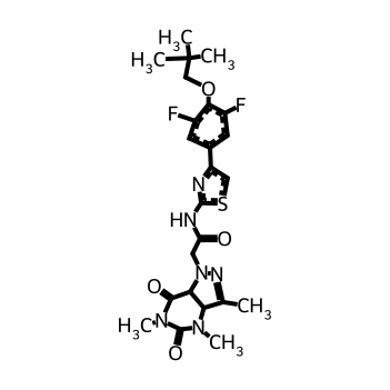 CC1=NN(CC(=O)Nc2nc(-c3cc(F)c(OCC(C)(C)C)c(F)c3)cs2)C2C(=O)N(C)C(=O)N(C)C12